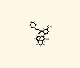 CCc1c(-c2ccc(O)cc2C(=O)CCN2CCCCC2)c2ccc3cccc1n32